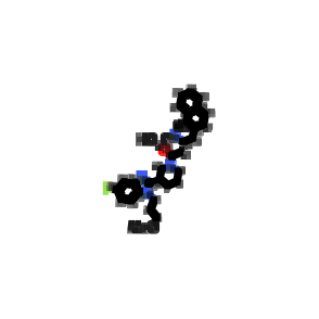 COCCCn1c([C@@H]2CCCN(C(=O)C[C@@H](Cc3ccc4ccccc4c3)N(C(=O)O)C(C)(C)C)C2)nc2cc(F)ccc21